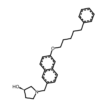 O[C@@H]1CCN(Cc2ccc3cc(OCCCCCc4ccccc4)ccc3c2)C1